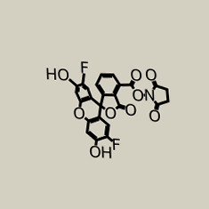 O=C(ON1C(=O)CCC1=O)c1cccc2c1C(=O)OC21c2cc(F)c(O)cc2Oc2cc(O)c(F)cc21